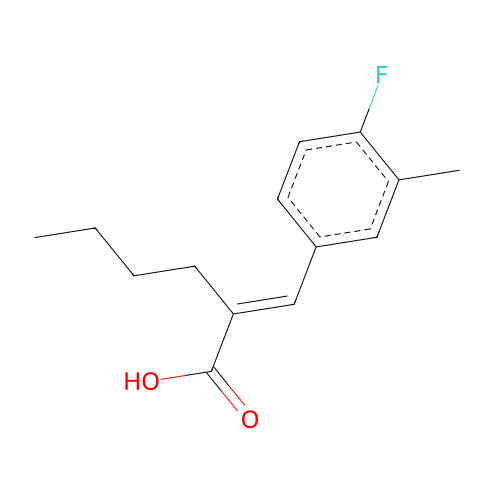 CCCC/C(=C\c1ccc(F)c(C)c1)C(=O)O